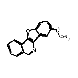 COc1ccc2oc3c4ccccc4cnc3c2c1